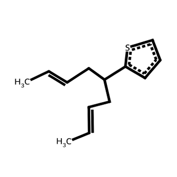 C/C=C/CC(C/C=C/C)c1cccs1